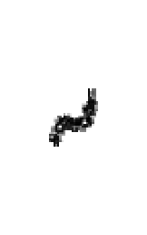 O=C(Nc1ncc2ccc(-c3cnco3)cc2n1)c1ccnc(N2CCC3(CC2)CNC3)c1